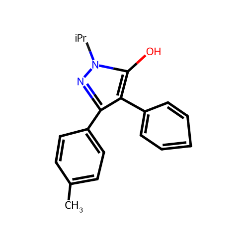 Cc1ccc(-c2nn(C(C)C)c(O)c2-c2ccccc2)cc1